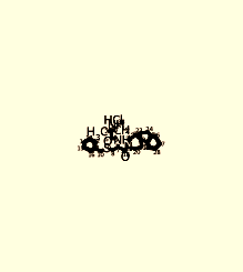 CC(C)(N)C(=O)NC(CSCc1ccccc1)C(=O)N1CCC2(CCc3ccccc32)CC1.Cl